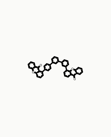 O=c1c2ccccc2oc2c(-c3cccc(-c4cccc(-c5ccc(-c6cccc7oc8ccccc8c(=O)c67)cc5)c4)c3)cccc12